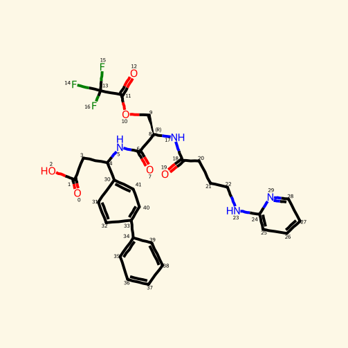 O=C(O)CC(NC(=O)[C@@H](COC(=O)C(F)(F)F)NC(=O)CCCNc1ccccn1)c1ccc(-c2ccccc2)cc1